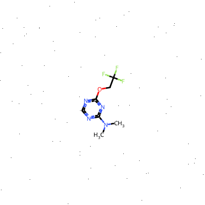 CN(C)c1n[c]nc(OCC(F)(F)F)n1